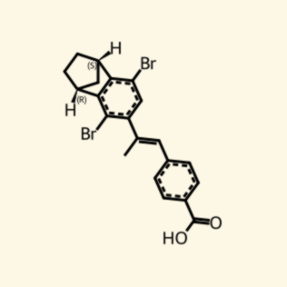 CC(=Cc1ccc(C(=O)O)cc1)c1cc(Br)c2c(c1Br)[C@@H]1CC[C@H]2C1